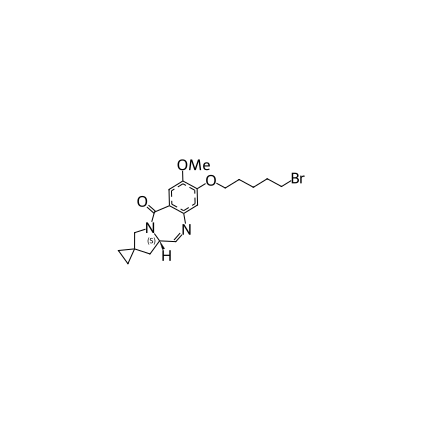 COc1cc2c(cc1OCCCCCBr)N=C[C@@H]1CC3(CC3)CN1C2=O